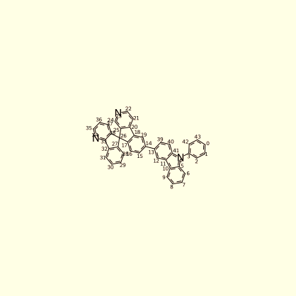 c1ccc(-n2c3ccccc3c3cc(-c4ccc5c(c4)-c4ccncc4C54c5ccccc5-c5ncccc54)ccc32)cc1